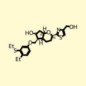 CCSc1cc(OC[C@@H]2[C@H]3CC[C@H](c4nc(CO)cs4)O[C@H]3C[C@@H]2O)ccc1CC